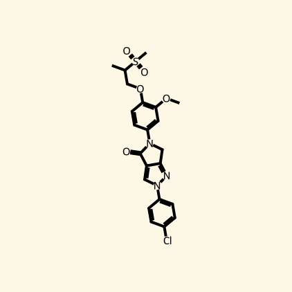 COc1cc(N2Cc3nn(-c4ccc(Cl)cc4)cc3C2=O)ccc1OCC(C)S(C)(=O)=O